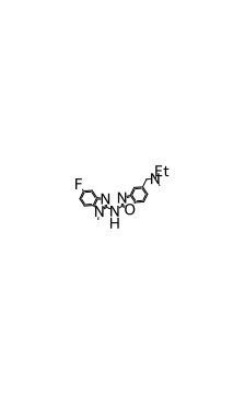 CCN(C)Cc1ccc2oc(Nc3nc4cc(F)ccc4n3C)nc2c1